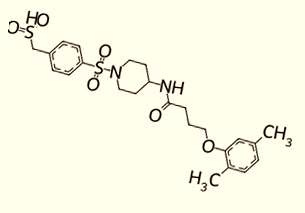 Cc1ccc(C)c(OCCCC(=O)NC2CCN(S(=O)(=O)c3ccc(C[SH](=O)=O)cc3)CC2)c1